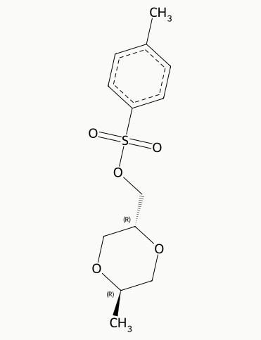 Cc1ccc(S(=O)(=O)OC[C@H]2CO[C@H](C)CO2)cc1